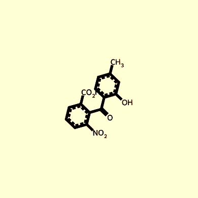 Cc1ccc(C(=O)c2c(C(=O)O)cccc2[N+](=O)[O-])c(O)c1